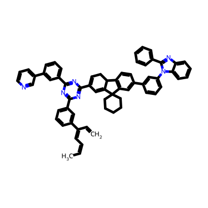 C=C/C(=C\C=C/C)c1cccc(-c2nc(C3=CCC4C(=C3)C3(CCCCC3)c3cc(-c5cccc(-n6c(-c7ccccc7)nc7ccccc76)c5)ccc34)nc(-c3cccc(-c4cccnc4)c3)n2)c1